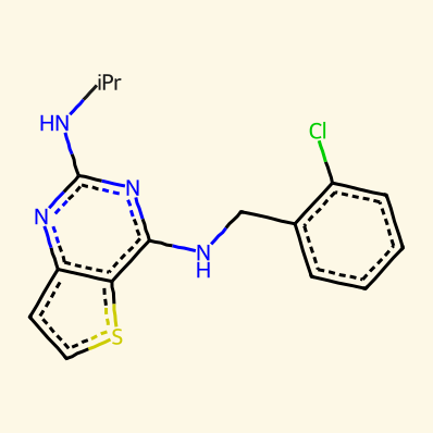 CC(C)Nc1nc(NCc2ccccc2Cl)c2sccc2n1